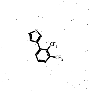 FC(F)(F)c1cccc(-c2c[c]sc2)c1C(F)(F)F